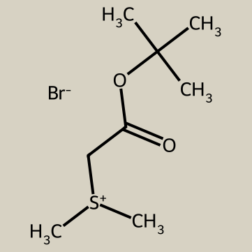 C[S+](C)CC(=O)OC(C)(C)C.[Br-]